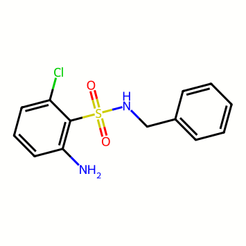 Nc1cccc(Cl)c1S(=O)(=O)NCc1ccccc1